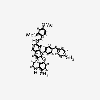 COc1ccc(CNc2ncc3cc(N4CCNc5c(C)cccc54)c(=O)n(-c4ccc(CN5CCN(C)CC5)cc4)c3n2)c(OC)c1